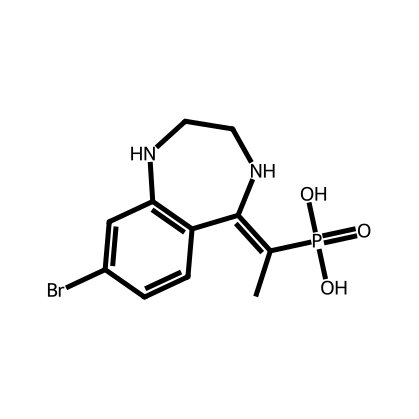 CC(=C1NCCNc2cc(Br)ccc21)P(=O)(O)O